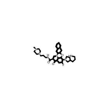 CN1CCN(CCCNC(=O)c2cn3c4c(c(N5CC6CCCNC6C5)c(F)cc4c2=O)Oc2cc4ccccc4cc2-3)CC1